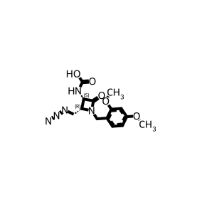 COc1ccc(CN2C(=O)[C@@H](NC(=O)O)[C@H]2CN=[N+]=[N-])c(OC)c1